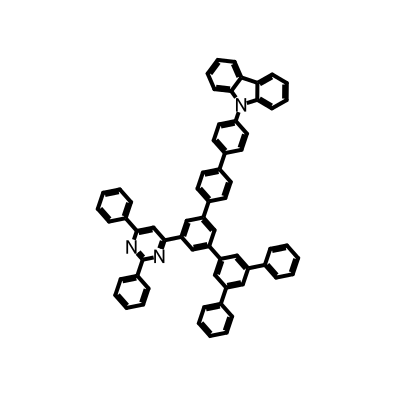 c1ccc(-c2cc(-c3ccccc3)cc(-c3cc(-c4ccc(-c5ccc(-n6c7ccccc7c7ccccc76)cc5)cc4)cc(-c4cc(-c5ccccc5)nc(-c5ccccc5)n4)c3)c2)cc1